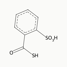 O=C(S)c1ccccc1S(=O)(=O)O